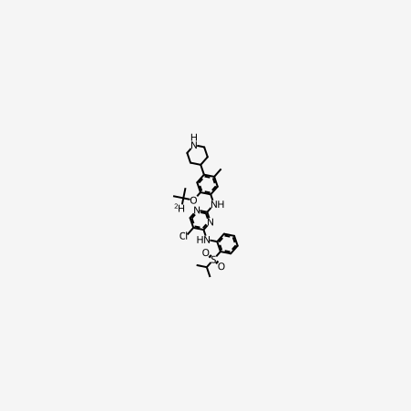 [2H]C(C)(C)Oc1cc(C2CCNCC2)c(C)cc1Nc1ncc(Cl)c(Nc2ccccc2S(=O)(=O)C(C)C)n1